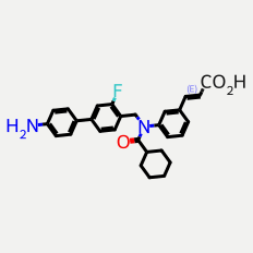 Nc1ccc(-c2ccc(CN(C(=O)C3CCCCC3)c3cccc(/C=C/C(=O)O)c3)c(F)c2)cc1